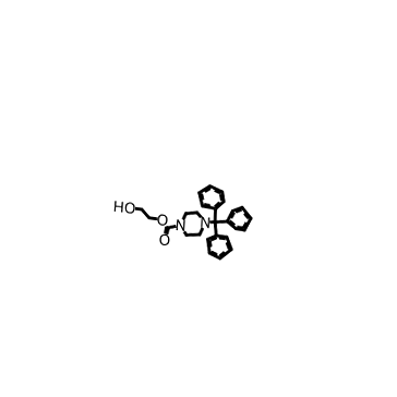 O=C(OCCO)N1CCN(C(c2ccccc2)(c2ccccc2)c2ccccc2)CC1